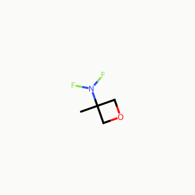 CC1(N(F)F)COC1